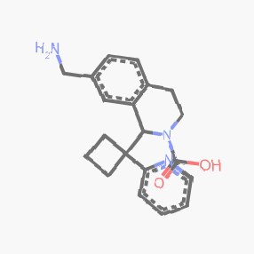 NCc1ccc2c(c1)C(C1(c3ccccn3)CCC1)N(C(=O)O)CC2